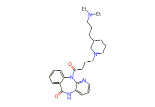 CCN(CC)CCCC1CCCN(CCCC(=O)N2c3ccccc3C(=O)Nc3cccnc32)C1